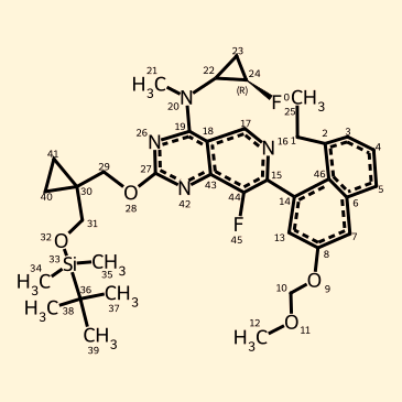 CCc1cccc2cc(OCOC)cc(-c3ncc4c(N(C)C5C[C@H]5F)nc(OCC5(CO[Si](C)(C)C(C)(C)C)CC5)nc4c3F)c12